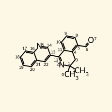 CC1(C)Cc2c(C=O)cccc2C(c2cnc3ccccc3c2)=N1